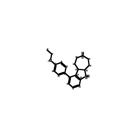 CCOc1ccc(-c2cccc3c2C2CCNCCC2N3)cc1